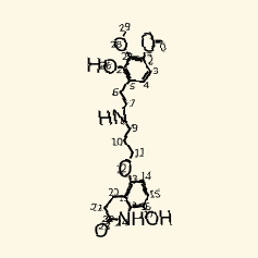 COc1ccc(CCNCCCOc2ccc(O)c3c2CCC(=O)N3)c(O)c1OC